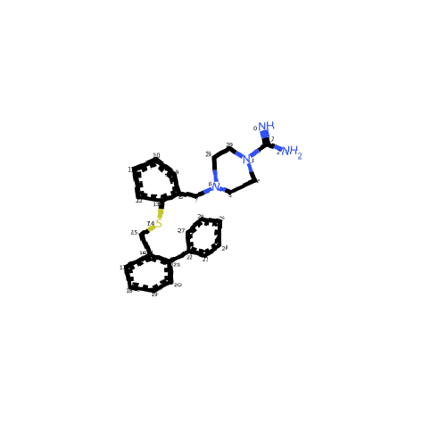 N=C(N)N1CCN(Cc2ccccc2SCc2ccccc2-c2ccccc2)CC1